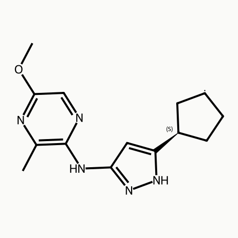 COc1cnc(Nc2cc([C@H]3C[CH]CC3)[nH]n2)c(C)n1